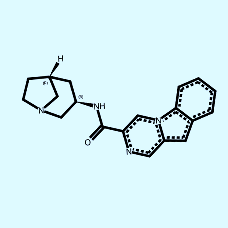 O=C(N[C@@H]1C[C@H]2CCN(C2)C1)c1cn2c(cn1)cc1ccccc12